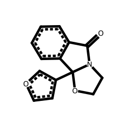 O=C1c2ccccc2C2(c3ccoc3)OCCN12